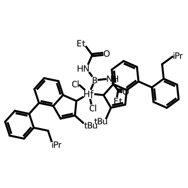 CCC(=O)N[B](NC(=O)CC)[Hf]([Cl])([Cl])([CH]1C(C(C)(C)C)=Cc2c(-c3ccccc3CC(C)C)cccc21)[CH]1C(C(C)(C)C)=Cc2c(-c3ccccc3CC(C)C)cccc21